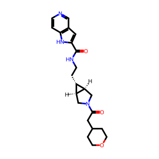 O=C(NCC[C@@H]1[C@H]2CN(C(=O)CC3CCOCC3)C[C@@H]12)c1cc2cnccc2[nH]1